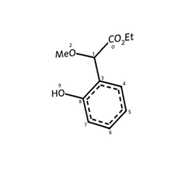 CCOC(=O)C(OC)c1ccccc1O